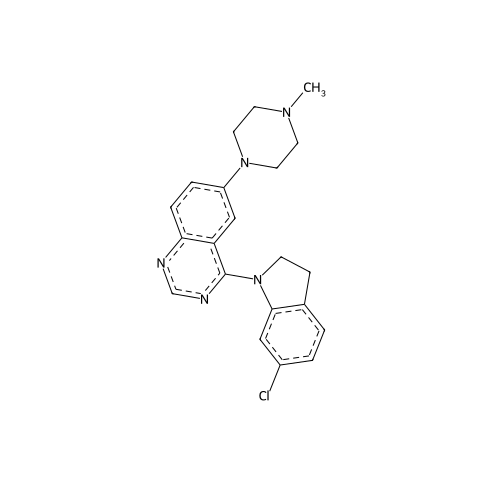 CN1CCN(c2ccc3ncnc(N4CCc5ccc(Cl)cc54)c3c2)CC1